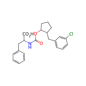 O=C(NC(Cc1ccccc1)C(=O)O)OC1CCCC1Cc1cccc(Cl)c1